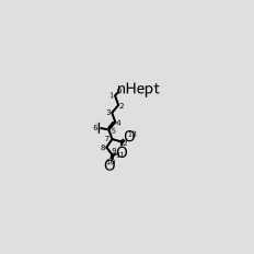 CCCCCCCCCCC=C(I)C1CC(=O)OC1=O